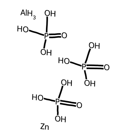 O=P(O)(O)O.O=P(O)(O)O.O=P(O)(O)O.[AlH3].[Zn]